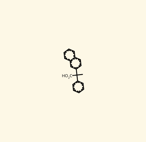 CC(C(=O)O)(c1ccccc1)c1ccc2ccccc2c1